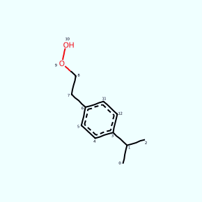 CC(C)c1ccc(CCOO)cc1